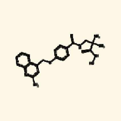 Cc1cc(COc2ccc(C(=O)NCC(C)(N)C(=O)NO)cc2)c2ccccc2n1